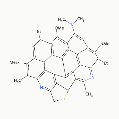 CCC1C=C2C(SC)=C(C)c3nc4c5c6c3C2c2c1c(OC)c1c(N(C)C)cc3c7c8c(nc(C)c(c8c-6c2c17)C5SC4)C(CC)C=3NC